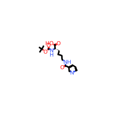 CC(C)(C)OC(=O)N[C@@H](CCCCNC(=O)c1cccnc1)C(=O)O